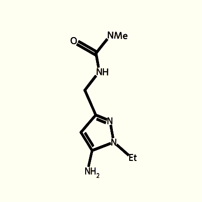 CCn1nc(CNC(=O)NC)cc1N